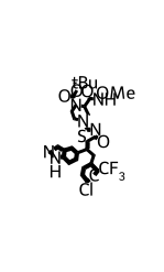 CONC(=O)C1CN(C2=NC(=O)C(=C(Cc3ccc(Cl)cc3C(F)(F)F)c3ccc4[nH]ncc4c3)S2)CCN1C(=O)OC(C)(C)C